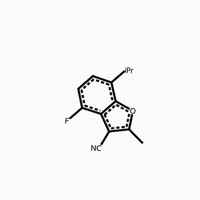 Cc1oc2c(C(C)C)ccc(F)c2c1C#N